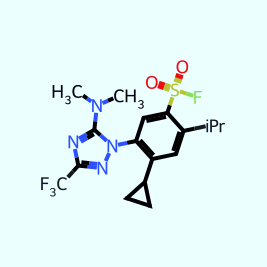 CC(C)c1cc(C2CC2)c(-n2nc(C(F)(F)F)nc2N(C)C)cc1S(=O)(=O)F